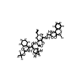 C=CCCC(NC(=O)[C@@H]1[C@@H]2C[C@@H]2CN1C(=O)[C@@H](NC(=O)OC(C)(C)C)C1CCCCC1)C(=O)C(=O)NCC(=O)N[C@H](C(=O)N(C)C)c1ccccc1